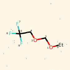 CCOCOCC(F)(F)F